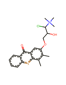 Cc1c(OCC(O)C(Cl)[N+](C)(C)C)cc2c(=O)c3ccccc3sc2c1C